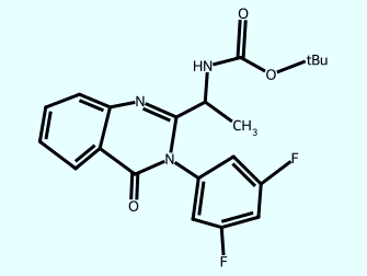 CC(NC(=O)OC(C)(C)C)c1nc2ccccc2c(=O)n1-c1cc(F)cc(F)c1